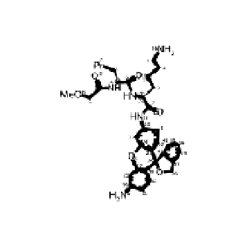 COCC(=O)N[C@@H](CC(C)C)C(=O)N[C@@H](CCCCN)C(=O)Nc1ccc2c(c1)Oc1cc(N)ccc1C21OCc2ccccc21